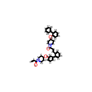 C=CC(=O)N1CCC(Oc2cccc(-c3ccccc3/C=C/C(=O)N3CCC(Oc4ccccc4-c4ccccc4)CC3)c2)CC1